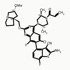 C=CC(=O)N1C[C@H](C)N(c2nc(OC[C@@]34CCCN3C[C@H](OC)C4)nc3c(F)c(-c4ccc(F)c5sc(N)c(C#N)c45)c(Cl)cc23)C[C@H]1C